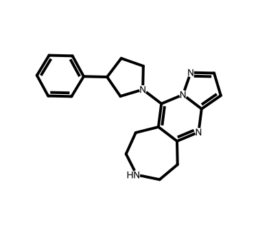 c1ccc(C2CCN(c3c4c(nc5ccnn35)CCNCC4)C2)cc1